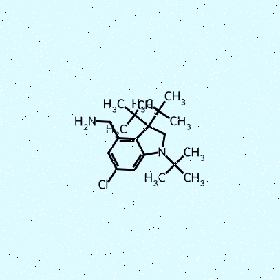 CC(C)(C)N1CC(C(C)(C)C)(C(C)(C)C)c2c(CN)cc(Cl)cc21